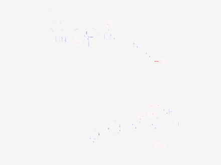 Cc1ncsc1-c1ccc(CNC(=O)[C@@H]2C[C@@H](O)CN2C(=O)[C@@H](NC(=O)CCCCCCC(=O)N2CCN(CCCNC(=O)c3c(C)[nH]c(/C=C4\C(=O)Nc5ccc(F)cc54)c3C)CC2)C(C)(C)C)cc1